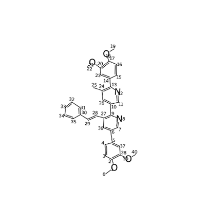 COc1ccc(-c2cnc(-c3cnc(-c4ccc(OC)c(OC)c4)c(C)c3)c(C=Cc3ccccc3)c2)cc1OC